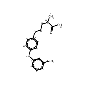 Cc1cccc(Oc2ccc(OCCN(C)C(=O)O)cc2)c1